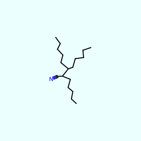 CCCCCC(C#N)C(CCCCC)CCCCC